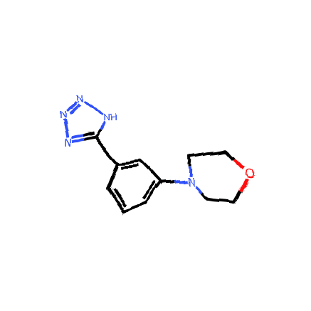 [c]1cc(-c2nnn[nH]2)cc(N2CCOCC2)c1